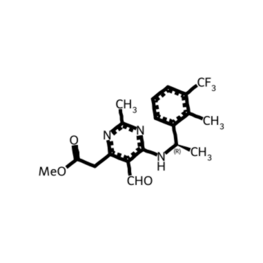 COC(=O)Cc1nc(C)nc(N[C@H](C)c2cccc(C(F)(F)F)c2C)c1C=O